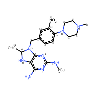 CCCCNc1nc(N)c2c(n1)N(Cc1ccc(N3CCN(C)CC3)c([N+](=O)[O-])c1)C(C=O)N2